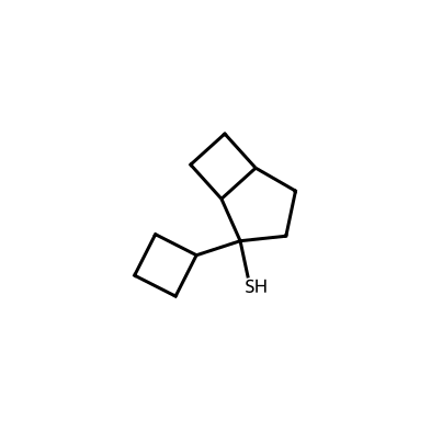 SC1(C2CCC2)CCC2CCC21